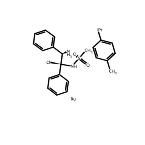 CS(=O)(=O)N[C@](Cl)(c1ccccc1)[C@H](N)c1ccccc1.Cc1ccc(C(C)C)cc1.[Ru]